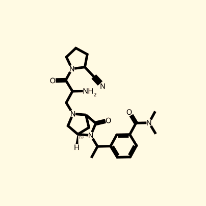 CC(c1cccc(C(=O)N(C)C)c1)N1C(=O)C2C[C@H]1CN2CC(N)C(=O)N1CCCC1C#N